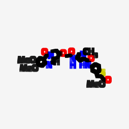 COC(=O)c1cc2cc(NC(=O)c3cc(NC(=O)CO[C@@H]4CCN5C(=O)c6cc(OC)c(OC)cc6N=C[C@@H]5C4)cn3C)ccc2s1